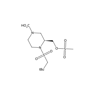 CC(C)(C)CS(=O)(=O)N1CCN(C(=O)O)C[C@H]1COS(C)(=O)=O